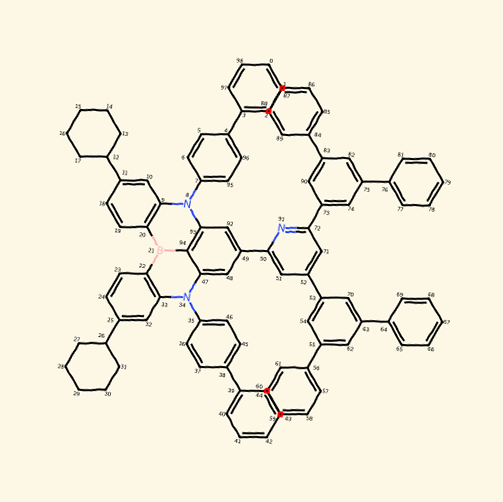 c1ccc(-c2ccc(N3c4cc(C5CCCCC5)ccc4B4c5ccc(C6CCCCC6)cc5N(c5ccc(-c6ccccc6)cc5)c5cc(-c6cc(-c7cc(-c8ccccc8)cc(-c8ccccc8)c7)cc(-c7cc(-c8ccccc8)cc(-c8ccccc8)c7)n6)cc3c54)cc2)cc1